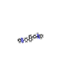 Cn1c(-c2ccc(-c3cccc4c(-c5ccc(-c6nc7ccccc7n6C)cc5)cccc34)cc2)nc2ccccc21